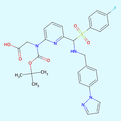 CC(C)(C)OC(=O)N(CC(=O)O)c1cccc(C(NCc2ccc(-n3cccn3)cc2)S(=O)(=O)c2ccc(F)cc2)n1